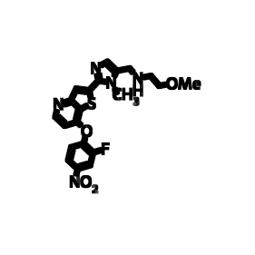 COCCNCc1cnc(-c2cc3nccc(Oc4ccc([N+](=O)[O-])cc4F)c3s2)n1C